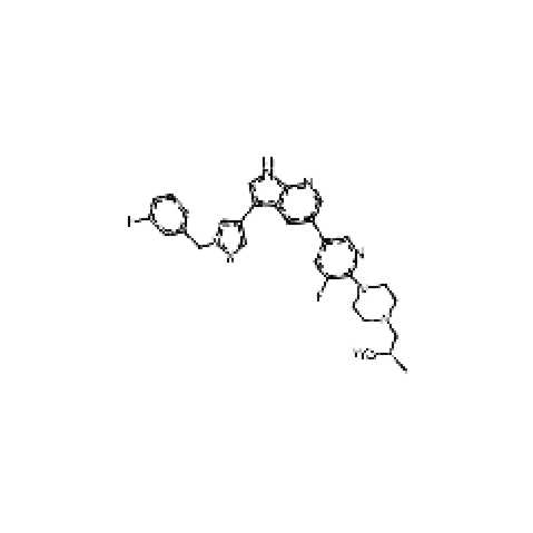 C[C@@H](O)CN1CCN(c2ncc(-c3cnc4[nH]cc(-c5cnn(Cc6cccc(F)c6)c5)c4c3)cc2F)CC1